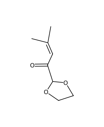 CC(C)=CC(=O)C1OCCO1